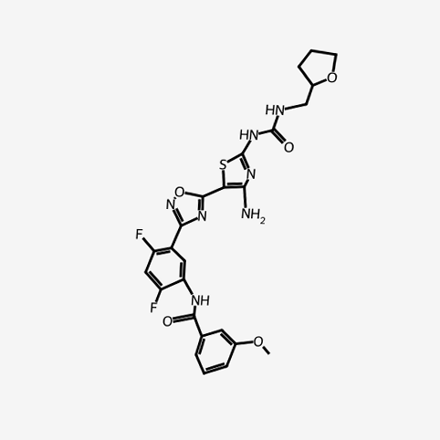 COc1cccc(C(=O)Nc2cc(-c3noc(-c4sc(NC(=O)NCC5CCCO5)nc4N)n3)c(F)cc2F)c1